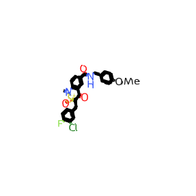 COc1ccc(CNC(=O)c2ccc3c(c2)C(=O)C(Cc2ccc(F)c(Cl)c2)[S+]([O-])N3C)cc1